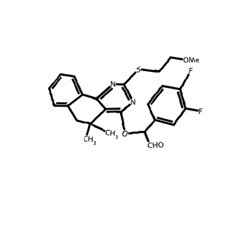 COCCSc1nc(OC(C=O)c2ccc(F)c(F)c2)c2c(n1)-c1ccccc1CC2(C)C